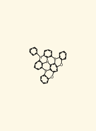 c1ccc(N2c3cccc4c3N3c5c(cccc52)B2c5ccccc5Oc5cc6c(c3c52)B4c2ccccc2O6)cc1